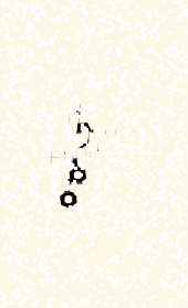 N=C(NCC(=O)N1C[C@H](OC(F)F)C[C@H]1C(=O)O)c1ccc2c(c1)Oc1ccccc1S2